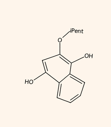 CCCC(C)Oc1cc(O)c2ccccc2c1O